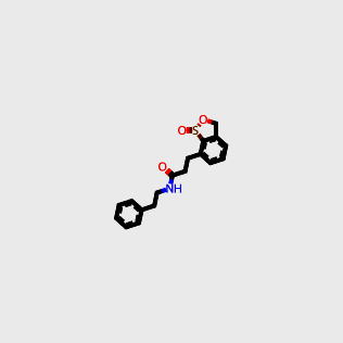 O=C(CCc1cccc2c1S(=O)OC2)NCCc1ccccc1